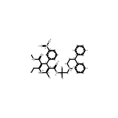 CCC1=C(C(=O)OC)C(c2cccc([N+](=O)[O-])c2)C(C(=O)OC(C)(C)CN(C)CCC(c2ccccc2)c2ccccc2)=C(C)N1